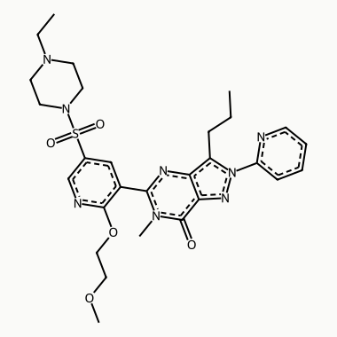 CCCc1c2nc(-c3cc(S(=O)(=O)N4CCN(CC)CC4)cnc3OCCOC)n(C)c(=O)c2nn1-c1ccccn1